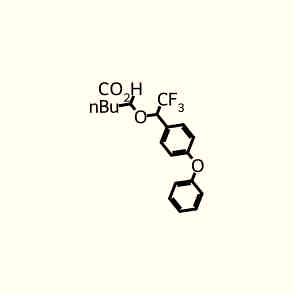 CCCCC(OC(c1ccc(Oc2ccccc2)cc1)C(F)(F)F)C(=O)O